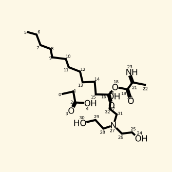 CCC(=O)O.CCCCCCCCCCCC(=O)OC(=O)C(C)=N.OCCN(CCO)CCO